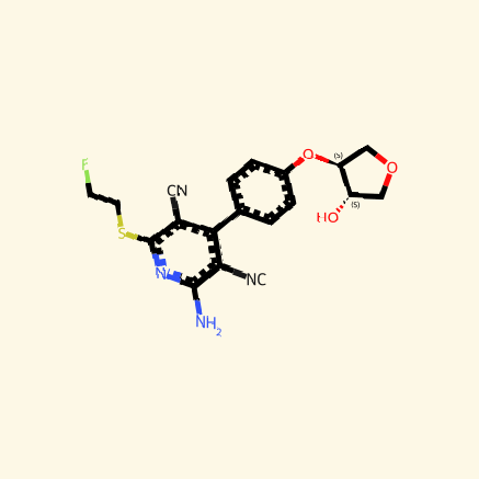 [C-]#[N+]c1c(N)nc(SCCF)c(C#N)c1-c1ccc(O[C@H]2COC[C@@H]2O)cc1